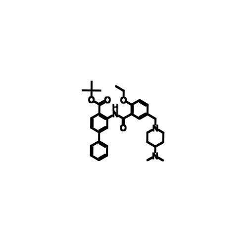 CCOc1ccc(CN2CCC(N(C)C)CC2)cc1C(=O)Nc1cc(-c2ccccc2)ccc1C(=O)OC(C)(C)C